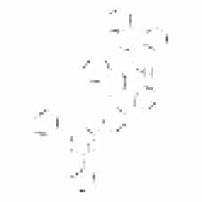 c1ccc(-c2nc(-c3ccccc3)nc(-c3ccc(-c4cccc5nc(-c6cc7ccccc7c7ccccc67)c6c7ccccc7sc6c45)cc3)n2)cc1